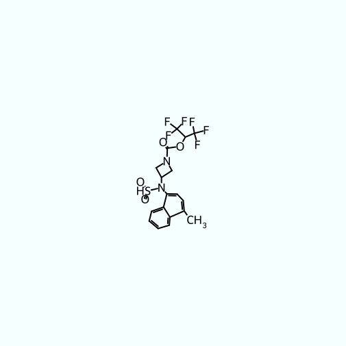 Cc1ccc(N(C2CN(C(=O)OC(C(F)(F)F)C(F)(F)F)C2)[SH](=O)=O)c2ccccc12